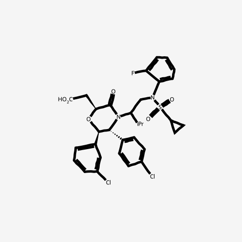 CC(C)C(CN(c1ccccc1F)S(=O)(=O)C1CC1)N1C(=O)[C@H](CC(=O)O)O[C@H](c2cccc(Cl)c2)[C@H]1c1ccc(Cl)cc1